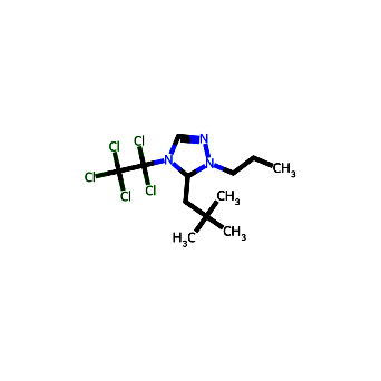 CCCN1N=CN(C(Cl)(Cl)C(Cl)(Cl)Cl)C1CC(C)(C)C